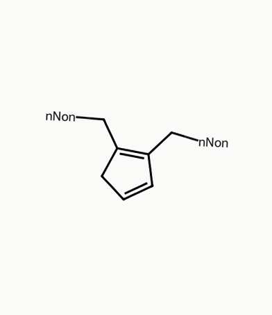 CCCCCCCCCCC1=C(CCCCCCCCCC)CC=C1